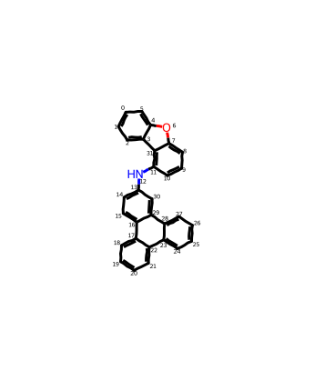 c1ccc2c(c1)oc1cccc(Nc3ccc4c5ccccc5c5ccccc5c4c3)c12